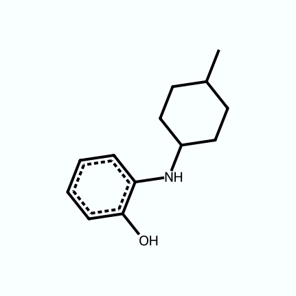 CC1CCC(Nc2ccccc2O)CC1